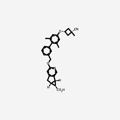 Cc1cc(O[C@H]2C[C@@](C)(C#N)C2)cc(C)c1-c1cccc(COc2cc3c(cn2)[C@H]2[C@@H](C3)[C@@H]2C(=O)O)c1